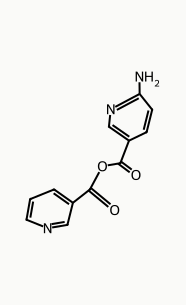 Nc1ccc(C(=O)OC(=O)c2cccnc2)cn1